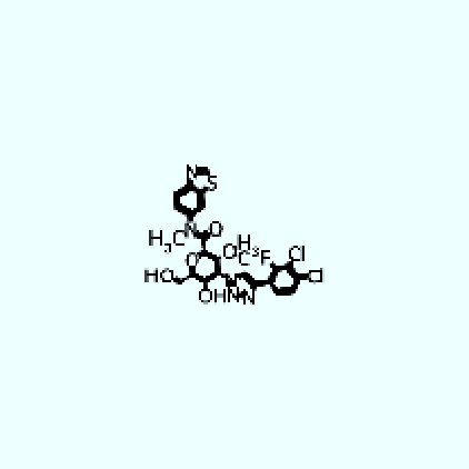 CO[C@@H]1[C@@H](n2cc(-c3ccc(Cl)c(Cl)c3F)nn2)[C@@H](O)[C@@H](CO)O[C@H]1C(=O)N(C)c1ccc2ncsc2c1